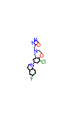 Fc1ccc2c(ccn2-c2cc(Cl)c3c(c2)CN(Cc2nnco2)CCO3)c1